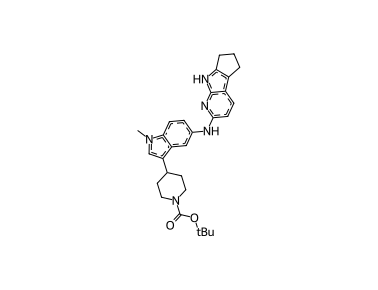 Cn1cc(C2CCN(C(=O)OC(C)(C)C)CC2)c2cc(Nc3ccc4c5c([nH]c4n3)CCC5)ccc21